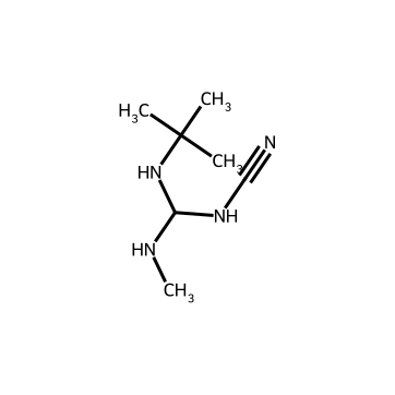 CNC(NC#N)NC(C)(C)C